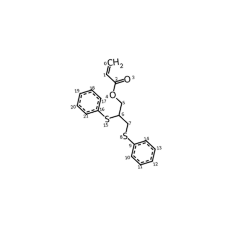 C=CC(=O)OCC(CSc1ccccc1)Sc1ccccc1